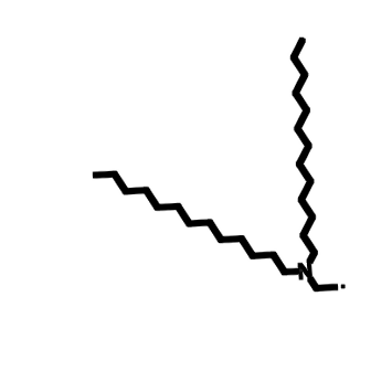 [CH2]CN(CCCCCCCCCCCCC)CCCCCCCCCCCCC